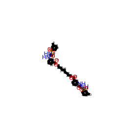 Cc1cccc(S(=O)(=O)NC(=O)Nc2cccc(C(=O)OCCCCCCCCCOC(=O)c3cccc(NC(=O)NS(=O)(=O)c4cccc(C)c4)c3)c2)c1